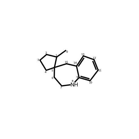 CC1CCCC12CCNc1ccccc1C2